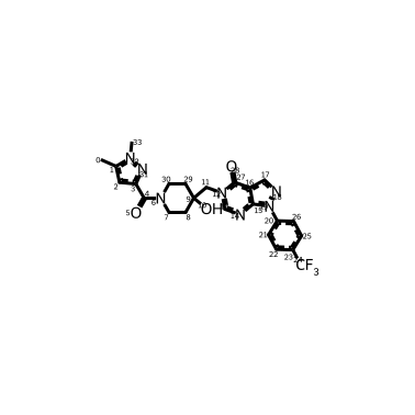 Cc1cc(C(=O)N2CCC(O)(Cn3cnc4c(cnn4-c4ccc(C(F)(F)F)cc4)c3=O)CC2)nn1C